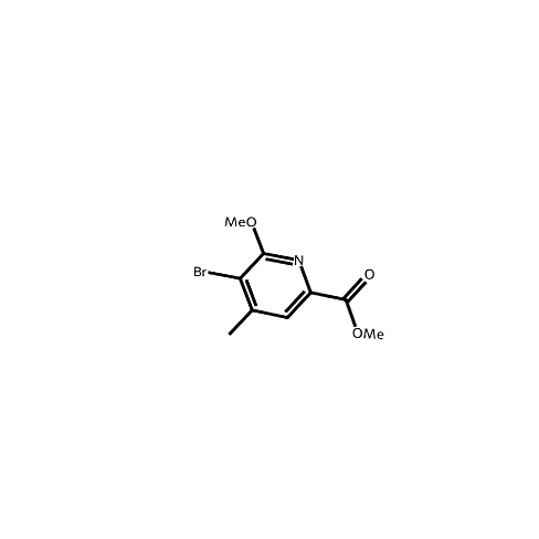 COC(=O)c1cc(C)c(Br)c(OC)n1